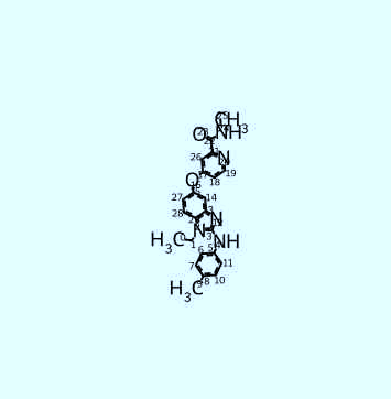 CCn1c(Nc2ccc(C)cc2)nc2cc(Oc3ccnc(C(=O)NC)c3)ccc21